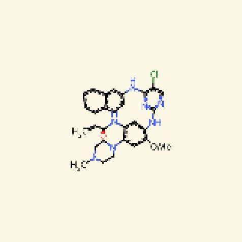 C=CC(=O)Nc1cc(Nc2ncc(Cl)c(Nc3ccc4ccccc4c3)n2)c(OC)cc1N1CCN(C)CC1